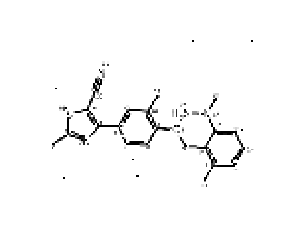 Cc1nc(-c2ccc(OCc3c(C)cccc3N(C)N)c(C)c2)c(C#N)s1